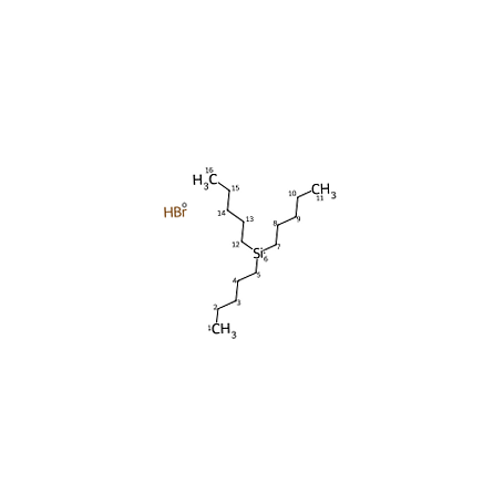 Br.CCCCC[Si](CCCCC)CCCCC